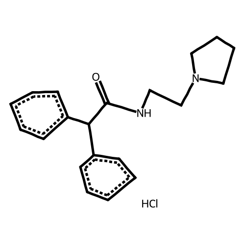 Cl.O=C(NCCN1CCCC1)C(c1ccccc1)c1ccccc1